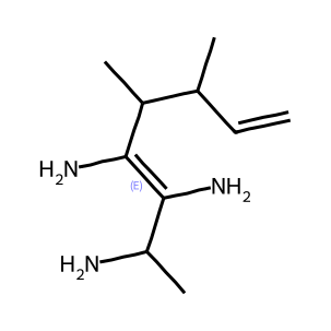 C=CC(C)C(C)/C(N)=C(\N)C(C)N